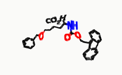 O=C(NC(CCCCOCc1ccccc1)C(=O)O)OCC1c2ccccc2-c2ccccc21